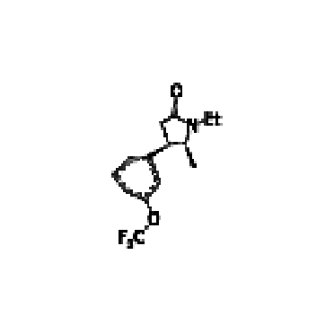 CCN1C(=O)C[C@H](c2cccc(OC(F)(F)F)c2)[C@@H]1C